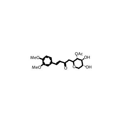 COc1ccc(/C=C/C(=O)CC2OC[C@@H](O)[C@H](O)[C@H]2OC(C)=O)cc1OC